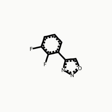 Fc1cccc(-c2conn2)c1F